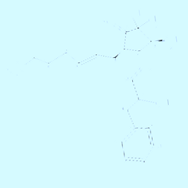 CC1(C)C(=O)[C@H](CC=CCCCC(=O)O)[C@@H](C=CC(O)Cc2ccccc2)[C@@H]1O